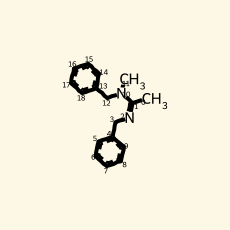 C/C(=N/Cc1ccccc1)N(C)Cc1ccccc1